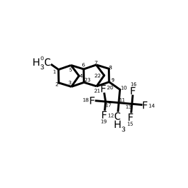 CC1CC2CC1C1C3CC(CC(C)(C(F)(F)F)C(F)(F)F)C(C3)C21